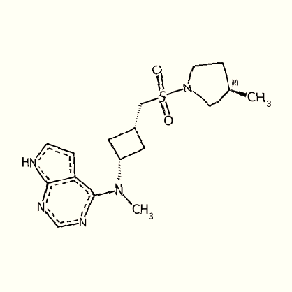 C[C@@H]1CCN(S(=O)(=O)C[C@H]2C[C@@H](N(C)c3ncnc4[nH]ccc34)C2)C1